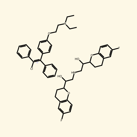 CCN(CC)CCOc1ccc(/C(=C(/Cl)c2ccccc2)c2ccccc2)cc1.OC(CNCC(O)C1CCc2cc(F)ccc2O1)C1CCc2cc(F)ccc2O1